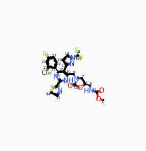 COC(=O)NC[C@@H]1CN(CC2=C(c3ccn(C(F)F)n3)[C@H](c3ccc(F)cc3Cl)N=C(c3nccs3)N2)C(=O)O1